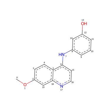 COc1ccc2c(Nc3cccc(O)c3)ccnc2c1